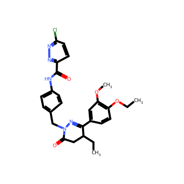 CCOc1ccc(C2=NN(Cc3ccc(NC(=O)c4ccc(Cl)nn4)cc3)C(=O)CC2CC)cc1OC